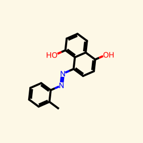 Cc1ccccc1N=Nc1ccc(O)c2cccc(O)c12